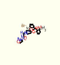 Cc1ccccc1C(O)(C(=O)O[C@H]1C[N+]2(CC(=O)Nc3ccon3)CCC1CC2)c1ccccc1.[Br-]